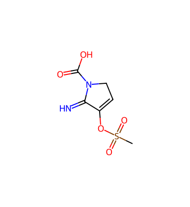 CS(=O)(=O)OC1=CCN(C(=O)O)C1=N